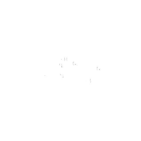 Cc1cc(-c2nc(C=O)cn2C)ncc1C#N